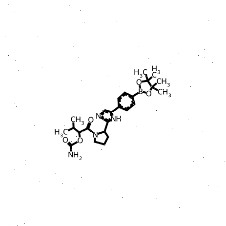 CC(C)C(OC(N)=O)C(=O)N1CCCC1c1ncc(-c2ccc(B3OC(C)(C)C(C)(C)O3)cc2)[nH]1